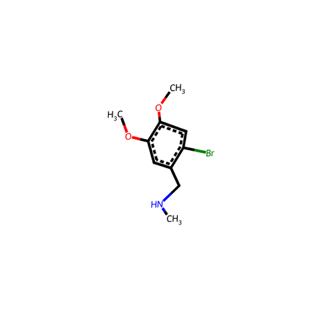 CNCc1cc(OC)c(OC)cc1Br